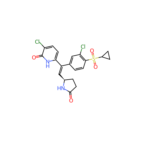 O=C1CC[C@H](/C=C(\c2ccc(S(=O)(=O)C3CC3)c(Cl)c2)c2ccc(Cl)c(=O)[nH]2)N1